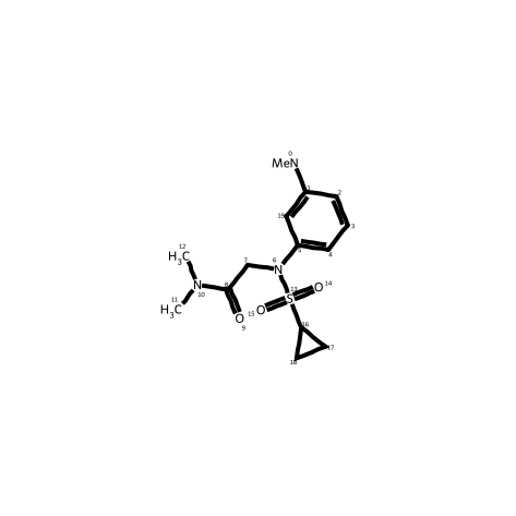 CNc1cccc(N(CC(=O)N(C)C)S(=O)(=O)C2CC2)c1